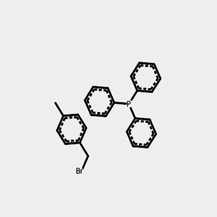 Cc1ccc(CBr)cc1.c1ccc(P(c2ccccc2)c2ccccc2)cc1